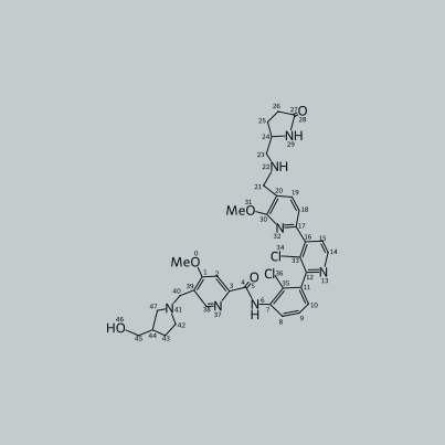 COc1cc(C(=O)Nc2cccc(-c3nccc(-c4ccc(CNCC5CCC(=O)N5)c(OC)n4)c3Cl)c2Cl)ncc1CN1CCC(CO)C1